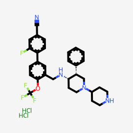 Cl.Cl.N#Cc1ccc(-c2ccc(OC(F)(F)F)c(CN[C@H]3CCN(C4CCNCC4)C[C@H]3c3ccccc3)c2)c(F)c1